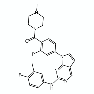 Cc1cc(Nc2ncc3ccn(-c4ccc(C(=O)N5CCN(C)CC5)c(F)c4)c3n2)ccc1F